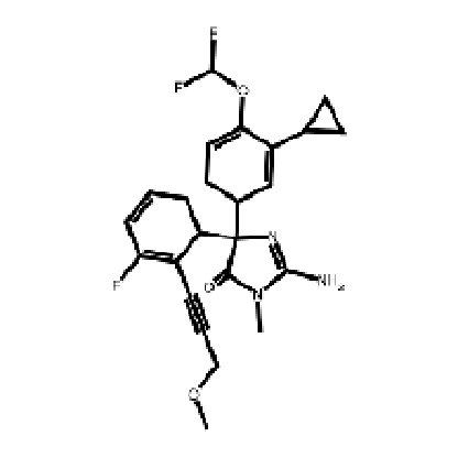 COCC#CC1=C(F)C=CCC1[C@@]1(C2C=C(C3CC3)C(OC(F)F)=CC2)N=C(N)N(C)C1=O